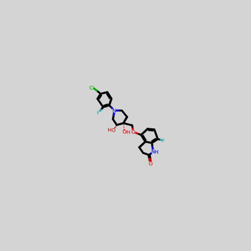 O=C1CCc2c(OC[C@]3(O)CCN(c4ccc(Cl)cc4F)C[C@H]3O)ccc(F)c2N1